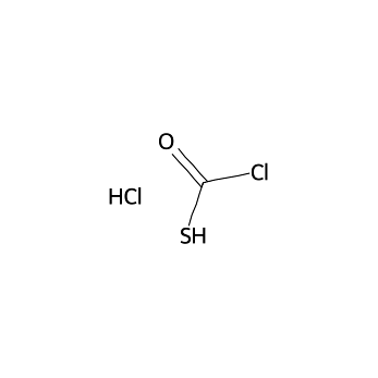 Cl.O=C(S)Cl